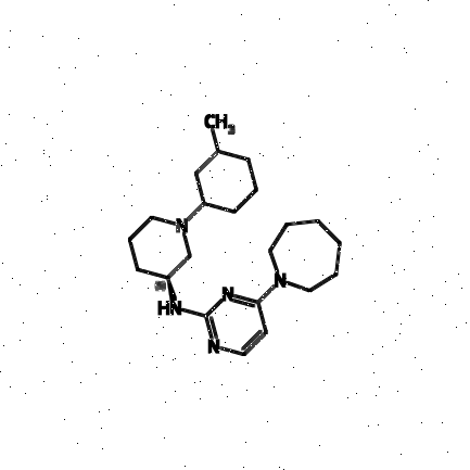 CC1CCCC(N2CCC[C@H](Nc3nccc(N4CCCCCC4)n3)C2)C1